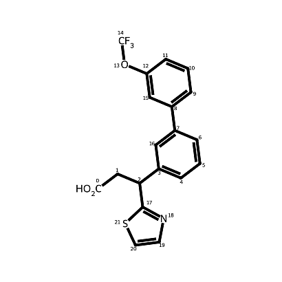 O=C(O)CC(c1cccc(-c2cccc(OC(F)(F)F)c2)c1)c1nccs1